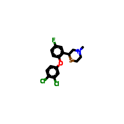 CN1CCSC(c2cc(F)ccc2Oc2ccc(Cl)c(Cl)c2)C1